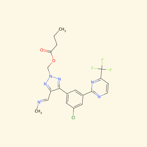 CCCC(=O)OCn1nc(/C=N/C)c(-c2cc(Cl)cc(-c3nccc(C(F)(F)F)n3)c2)n1